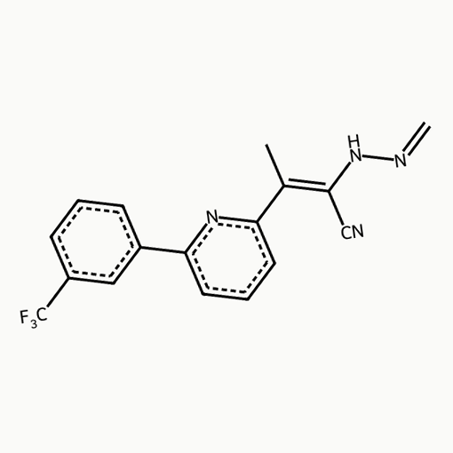 C=NN/C(C#N)=C(\C)c1cccc(-c2cccc(C(F)(F)F)c2)n1